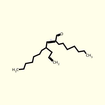 C=CCC(/C=C(/C=O)CCCCCCC)CCCCCCC